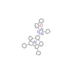 c1ccc(-c2ccc3c(c2)c2cc(-c4ccccc4)ccc2n3-c2c(-c3ccccc3)cc(-c3nc(-c4ccccc4)nc(-c4cccc5c4oc4ccccc45)n3)cc2-c2ccccc2)cc1